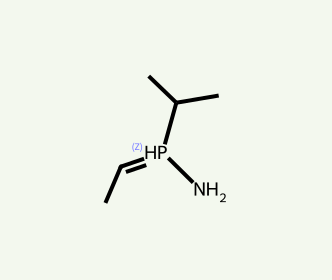 C/C=[PH](\N)C(C)C